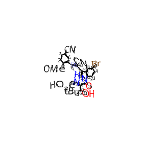 COc1ccc(C#N)cc1/C=C(\C#N)c1cn(C(=O)C(NC(=O)O)C(O)C(C)(C)C)c2ccc(Br)cc12